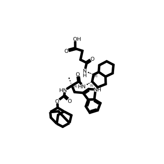 C[C@](Cc1c[nH]c2ccccc12)(NC(=O)OC1C2CC3CC(C2)CC1C3)C(=O)N[C@H]1CCC2CCCCC2[C@H]1NC(=O)CCC(=O)O